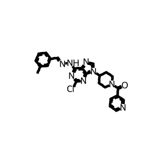 Cc1cccc(/C=N/Nc2nc(Cl)nc3c2ncn3C2CCN(C(=O)c3cccnc3)CC2)c1